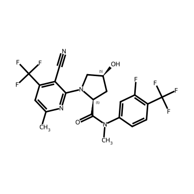 Cc1cc(C(F)(F)F)c(C#N)c(N2C[C@@H](O)C[C@H]2C(=O)N(C)c2ccc(C(F)(F)F)c(F)c2)n1